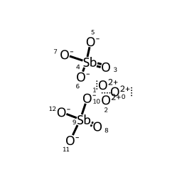 [O+2].[O+2].[O+2].[O]=[Sb]([O-])([O-])[O-].[O]=[Sb]([O-])([O-])[O-]